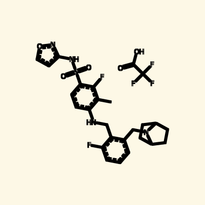 Cc1c(NCc2c(F)cccc2CN2C3CCC2CC3)ccc(S(=O)(=O)Nc2ccon2)c1F.O=C(O)C(F)(F)F